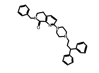 O=C1c2nc(N3CCN(CCC(c4ccccc4)c4ccccc4)CC3)ccc2CCN1Cc1ccccc1